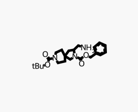 CC(C)(C)OC(=O)N1CCC2(CC1)CC(CN)N(C(=O)OCc1ccccc1)C2